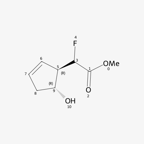 COC(=O)C(F)[C@@H]1C=CC[C@H]1O